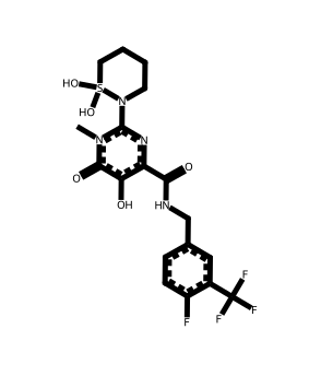 Cn1c(N2CCCCS2(O)O)nc(C(=O)NCc2ccc(F)c(C(F)(F)F)c2)c(O)c1=O